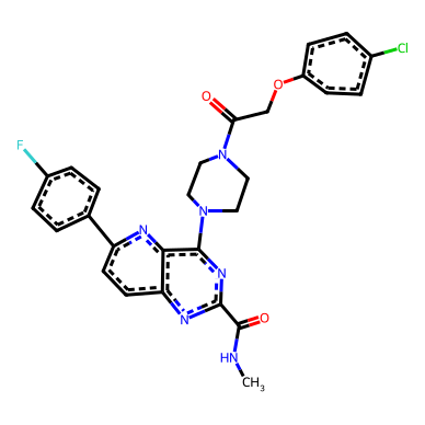 CNC(=O)c1nc(N2CCN(C(=O)COc3ccc(Cl)cc3)CC2)c2nc(-c3ccc(F)cc3)ccc2n1